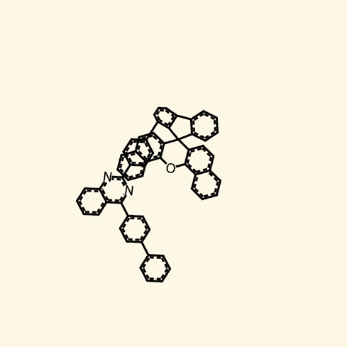 c1ccc(-c2ccc(-c3nc(-c4ccc(-c5cccc6c5C5(c7ccccc7-6)c6ccc7ccccc7c6Oc6c5ccc5ccccc65)cc4)nc4ccccc34)cc2)cc1